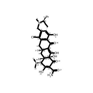 CC(C)[C@@H](C)N(C)Cc1cc(O)c2c(c1Cl)C[C@H]1C[C@H]3[C@H](N(C)C)C(O)=C(C(N)=O)C(=O)[C@@]3(O)C(O)=C1C2=O